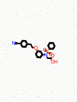 N#Cc1ccc(CCOc2cccc(N(CC(=O)O)S(=O)(=O)c3ccccc3)c2)cc1